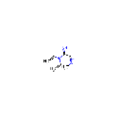 C=CN(C=C)C(=N)/C=N\C